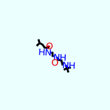 CC(C)CCC(=O)NCCNC(=O)CCNC(C)(C)C